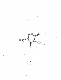 CC1=C[N]C(=O)N(C)C1=O